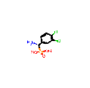 N[C@@H](c1ccc(Cl)c(Cl)c1)P(=O)(O)O